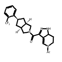 CC(=O)N1C=C2C(C(=O)N3C[C@H]4C[C@@H](c5ccccc5C(F)(F)F)C[C@H]4C3)=NNC2CC1